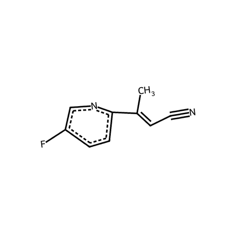 C/C(=C\C#N)c1ccc(F)cn1